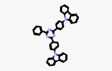 C1=CC2c3ccccc3N(c3ccc(-c4nc(-c5ccccc5)nc(-c5ccc(-n6c7ccccc7c7ccccc76)cc5)n4)cc3)C2C=C1